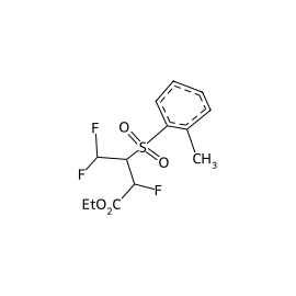 CCOC(=O)C(F)C(C(F)F)S(=O)(=O)c1ccccc1C